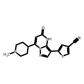 CN1CCC(c2cc(=O)[nH]c3c(-c4cc(C#N)cs4)cnn23)CC1